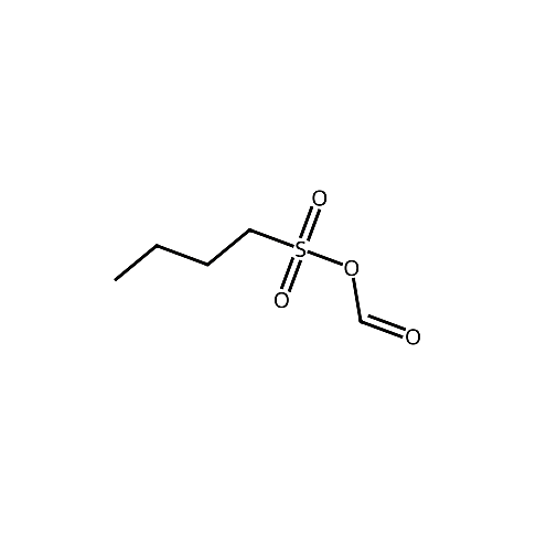 CCCCS(=O)(=O)OC=O